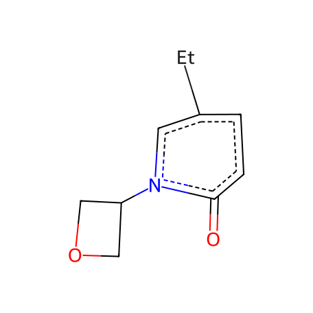 CCc1ccc(=O)n(C2COC2)c1